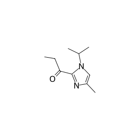 CCC(=O)c1nc(C)cn1C(C)C